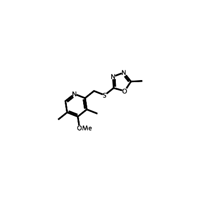 COc1c(C)cnc(CSc2nnc(C)o2)c1C